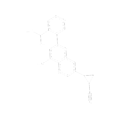 CC(C)c1ccncc1-c1cc(N)c2ncc(C3CC3C#N)cc2n1